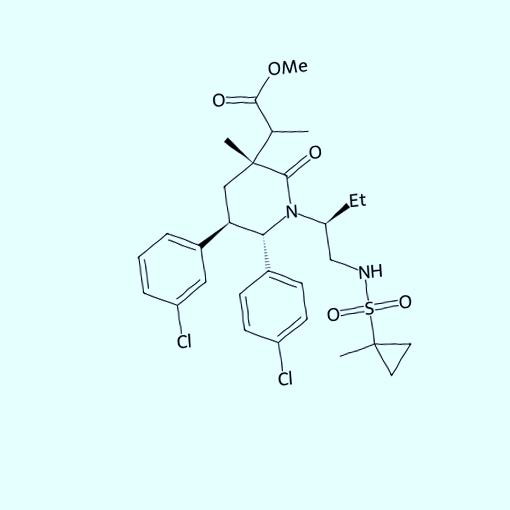 CC[C@@H](CNS(=O)(=O)C1(C)CC1)N1C(=O)[C@@](C)(C(C)C(=O)OC)C[C@H](c2cccc(Cl)c2)[C@H]1c1ccc(Cl)cc1